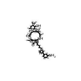 CC[C@H]1OC(=O)[C@H](C)C(=O)[C@H](C)[C@@H](O[C@@H]2OC(C)CC(N(C)C)C2O)[C@](C)(OC)C[C@@H](C)CN[C@H](C)[C@H]2N(CCCCCn3cc(-c4cccc(N)c4)nn3)C(=O)O[C@]12C